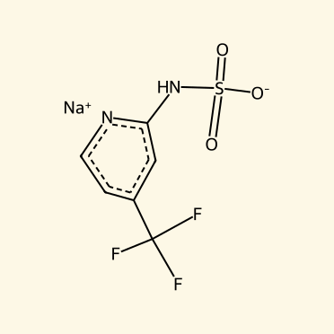 O=S(=O)([O-])Nc1cc(C(F)(F)F)ccn1.[Na+]